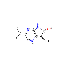 B=C1C(=O)Nc2nc(C(C)C)cnc21